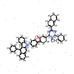 CN1C(C2=Cc3oc4cc(-n5c6ccccc6c6c(-c7ccccc7)c7ccccc7cc65)ccc4c3CC2)=NC(C2=CCC3CCC=CC3=C2)=NC1C1C=CC=CC1